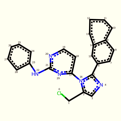 ClCc1cnc(-c2ccc3ccccc3c2)n1-c1ccnc(Nc2c[c]ccc2)n1